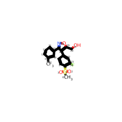 CS(=O)(=O)c1ccc(-c2c(-c3cccc(C(F)(F)F)c3)noc2CO)cc1F